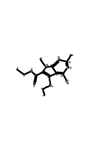 CCOC(=O)c1c(OCC)c2c(Cl)nc(C)nc2n1C